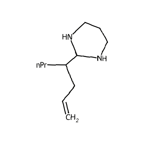 C=CCC(CCC)C1NCCCN1